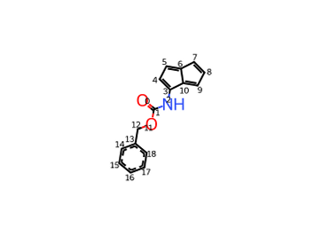 O=C(NC1=CC=C2C=CC=C21)OCc1ccccc1